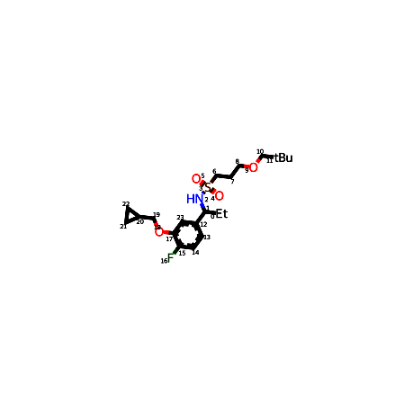 CCC(NS(=O)(=O)CCCOCC(C)(C)C)c1ccc(F)c(OCC2CC2)c1